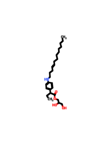 CCCCCCCCCC=CCCCNc1ccc(C(CC)C(=O)OCC(O)CO)cc1